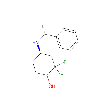 C[C@@H](N[C@@H]1CCC(O)C(F)(F)C1)c1ccccc1